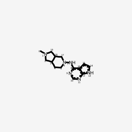 CN1CC2CCN(Nc3ncnc4[nH]ccc34)CC2C1